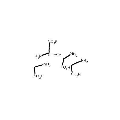 CC(C)[C@H](N)C(=O)O.NCC(=O)O.NCC(=O)O.NCC(=O)O